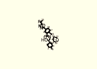 Cc1ccc([C@H](O)[C@@H](C2CCOCC2)N2Cc3ccc(-c4nnc(C(C)F)o4)cc3C2=O)cc1